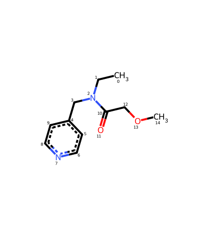 CCN(Cc1ccncc1)C(=O)COC